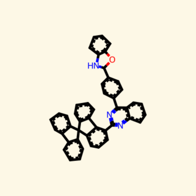 c1ccc2c(c1)NC(c1ccc(-c3nc(-c4cccc5c4-c4ccccc4C54c5ccccc5-c5ccccc54)nc4ccccc34)cc1)O2